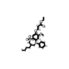 CCCCC1CN(c2ccccc2)c2cc(SC)c(O/C=C/C(=O)OCC)cc2S(=O)(=O)C1